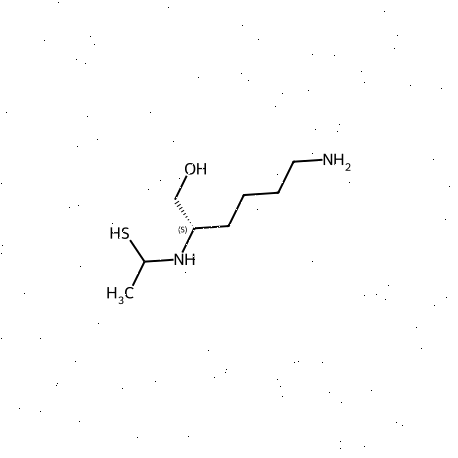 CC(S)N[C@H](CO)CCCCN